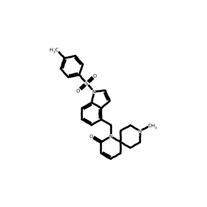 Cc1ccc(S(=O)(=O)n2ccc3c(CN4C(=O)C=CCC45CCN(C)CC5)cccc32)cc1